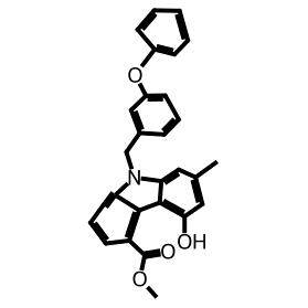 COC(=O)c1cccc2c1c1c(O)cc(C)cc1n2Cc1cccc(Oc2ccccc2)c1